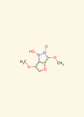 COc1coc2c(OC)[n+]([O-])n(O)c12